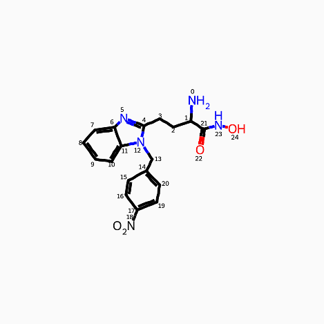 NC(CCc1nc2ccccc2n1Cc1ccc([N+](=O)[O-])cc1)C(=O)NO